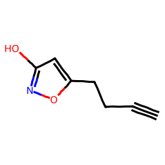 C#CCCc1cc(O)no1